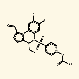 CCC1c2ccc(C=O)n2-c2cc(F)c(F)cc2N1S(=O)(=O)c1ccc(OC(=O)O)cc1